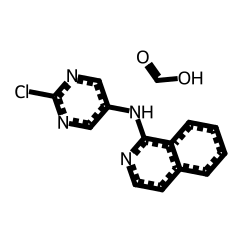 Clc1ncc(Nc2nccc3ccccc23)cn1.O=CO